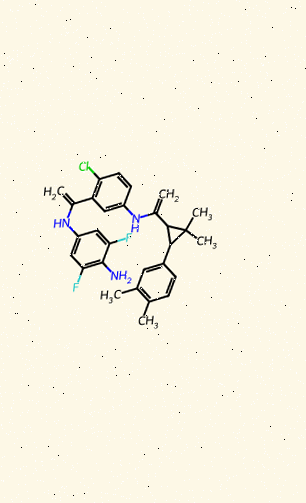 C=C(Nc1cc(F)c(N)c(F)c1)c1cc(NC(=C)C2C(c3ccc(C)c(C)c3)C2(C)C)ccc1Cl